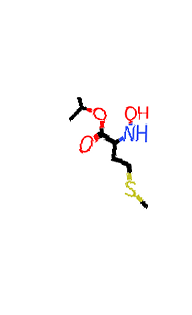 CSCCC(NO)C(=O)OC(C)C